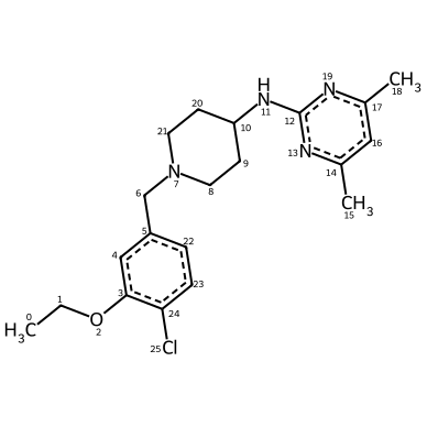 CCOc1cc(CN2CCC(Nc3nc(C)cc(C)n3)CC2)ccc1Cl